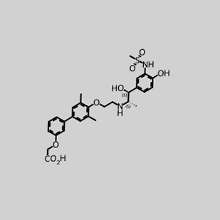 Cc1cc(-c2cccc(OCC(=O)O)c2)cc(C)c1OCCN[C@@H](C)[C@@H](O)c1ccc(O)c(NS(C)(=O)=O)c1